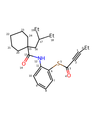 CCC#CC(=O)Sc1ccccc1NC(=O)C1(CC(CC)CC)CCCCC1